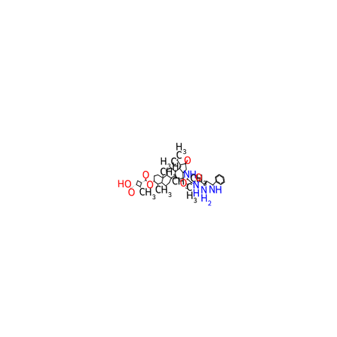 CC(C)C1=C2[C@H]3CCC4[C@@](C)(CCC5[C@@H](C)[C@@H](OC(=O)[C@H]6C[C@@H](C(=O)O)[C@H]6C)CC[C@@]54C)C3CC[C@@]2(NC(=O)C(C)(C)NC(=O)/C(N)=C/C(=N)c2ccccc2)CC1=O